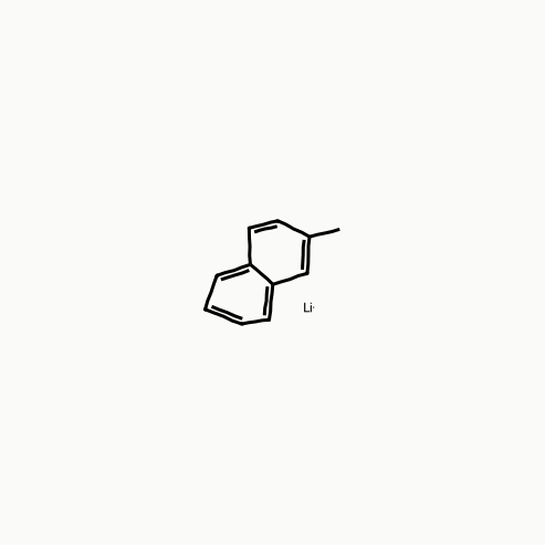 Cc1ccc2ccccc2c1.[Li]